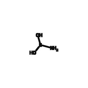 NB(O)O